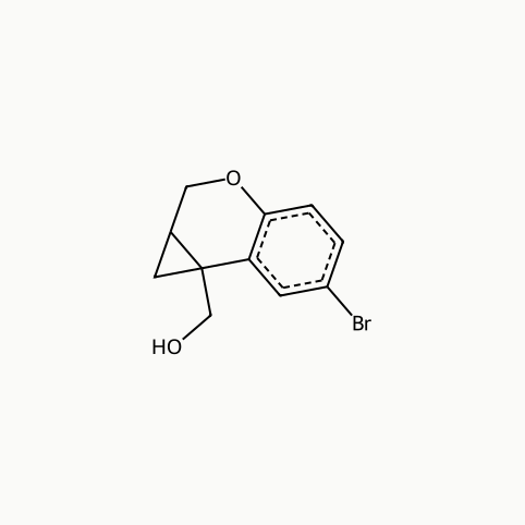 OCC12CC1COc1ccc(Br)cc12